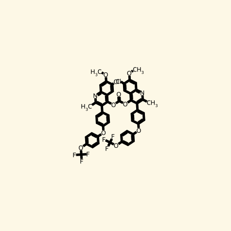 COc1cc2nc(C)c(-c3ccc(Oc4ccc(OC(F)(F)F)cc4)cc3)c(OC(=O)Oc3c(-c4ccc(Oc5ccc(OC(F)(F)F)cc5)cc4)c(C)nc4cc(OC)c(Cl)cc34)c2cc1Cl